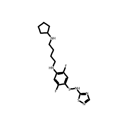 Fc1cc(SNc2ncns2)c(F)cc1NCCCCNC1CCCC1